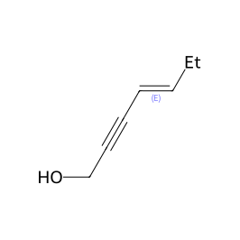 CC/C=C/C#CCO